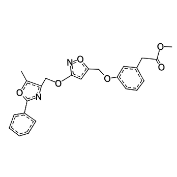 COC(=O)Cc1cccc(OCc2cc(OCc3nc(-c4ccccc4)oc3C)no2)c1